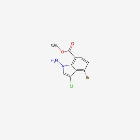 CC(C)(C)OC(=O)c1ccc(Br)c2c(Cl)cn(N)c12